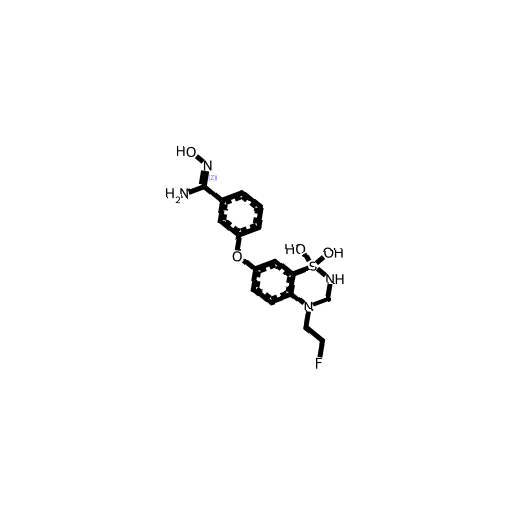 N/C(=N\O)c1cccc(Oc2ccc3c(c2)S(O)(O)NCN3CCF)c1